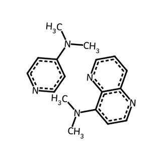 CN(C)c1ccnc2cccnc12.CN(C)c1ccncc1